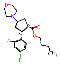 CCCCOC(=O)[C@@H]1CC(N2CCOCC2)C[C@H]1c1ccc(F)cc1F